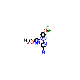 COc1ccc(-n2c(-c3ccc(C#N)cn3)nc3cc(OC(F)(F)F)ccc32)nn1